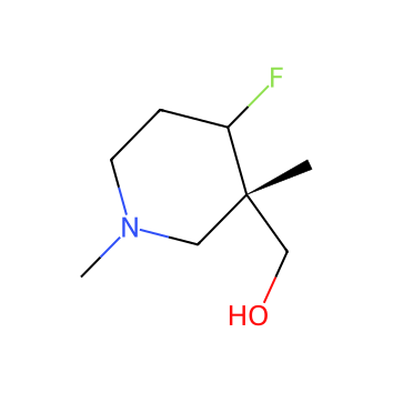 CN1CCC(F)[C@](C)(CO)C1